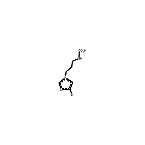 O=C(O)NCCCn1cnc(Br)c1